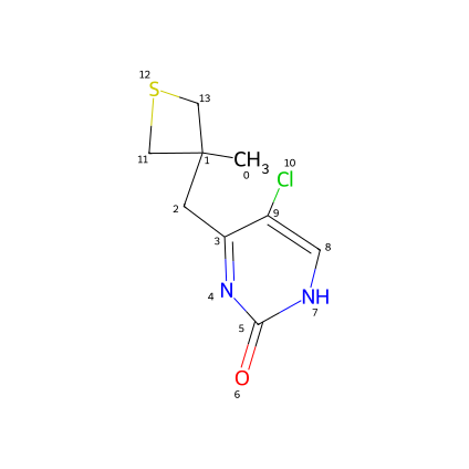 CC1(Cc2nc(=O)[nH]cc2Cl)CSC1